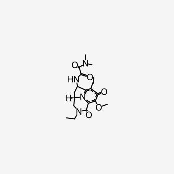 CCN1C[C@@H]2CC(NC(=O)C(=O)N(C)C)c3c(I)c(=O)c(OC)c(n32)C1=O